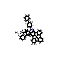 CC1(C)c2ccccc2-c2ccc(N(CCc3cccc4c3C3(c5ccccc5-c5ccccc53)c3ccccc3-4)c3ccc(-c4ccccc4)cc3)cc21